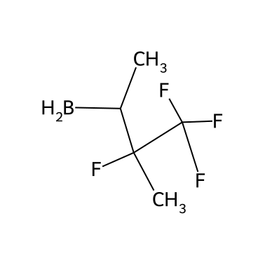 BC(C)C(C)(F)C(F)(F)F